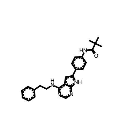 CC(C)(C)C(=O)Nc1ccc(-c2cc3c(NCCc4ccccc4)ncnc3[nH]2)cc1